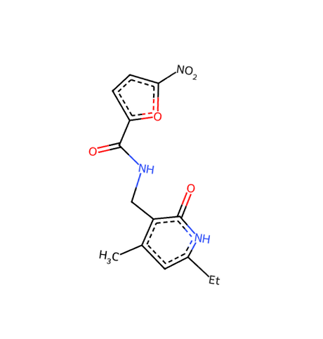 CCc1cc(C)c(CNC(=O)c2ccc([N+](=O)[O-])o2)c(=O)[nH]1